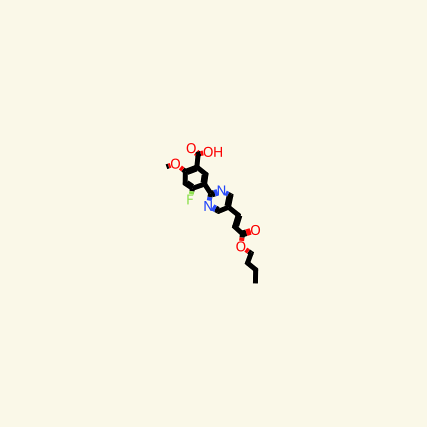 CCCCOC(=O)/C=C/c1cnc(-c2cc(C(=O)O)c(OC)cc2F)nc1